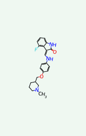 CN1CCCC(COc2ccc(NC=C3C(=O)Nc4cccc(F)c43)cc2)C1